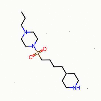 CCCN1CCN(S(=O)(=O)CCCCC2CCNCC2)CC1